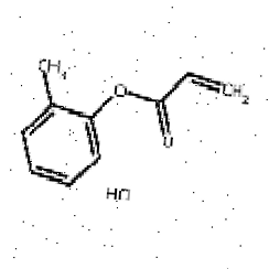 C=CC(=O)Oc1ccccc1C.Cl